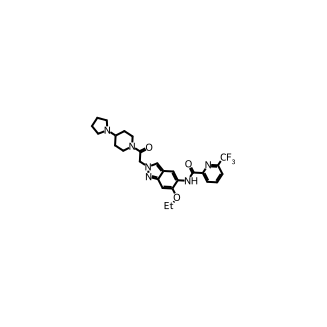 CCOc1cc2nn(CC(=O)N3CCC(N4CCCC4)CC3)cc2cc1NC(=O)c1cccc(C(F)(F)F)n1